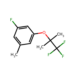 Cc1cc(F)cc(OC(C)(C)C(F)(F)F)c1